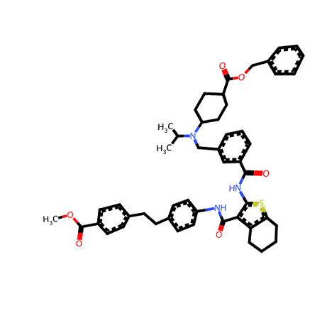 COC(=O)c1ccc(CCc2ccc(NC(=O)c3c(NC(=O)c4cccc(CN(C(C)C)C5CCC(C(=O)OCc6ccccc6)CC5)c4)sc4c3CCCC4)cc2)cc1